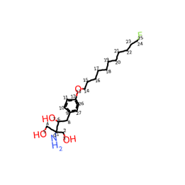 NC(CO)(CO)C(O)Cc1ccc(OCCCCCCCCCCCF)cc1